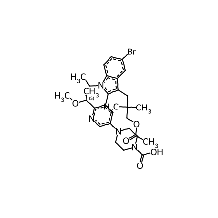 CCn1c(-c2cc(N3CCN(C(=O)O)CC3)cnc2[C@H](C)OC)c(CC(C)(C)COC(C)=O)c2cc(Br)ccc21